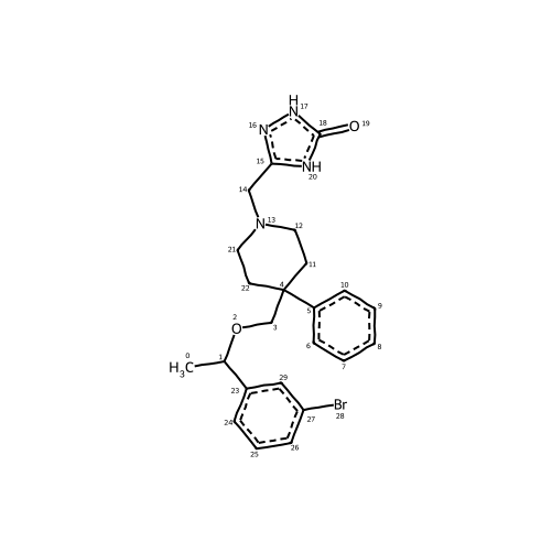 CC(OCC1(c2ccccc2)CCN(Cc2n[nH]c(=O)[nH]2)CC1)c1cccc(Br)c1